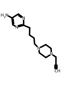 C#CCN1CCN(CCCCc2ncc(N)cn2)CC1